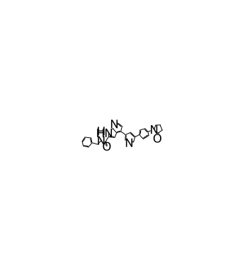 O=C(NCc1ccccc1)c1cc2c(-c3cncc(-c4ccc(N5CCCC5=O)cc4)c3)ccnc2[nH]1